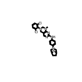 CN1CN(c2c(Cl)cccc2Cl)Cc2cnc(Nc3ccc(N4CC5CCC(C4)N5C)cc3)nc21